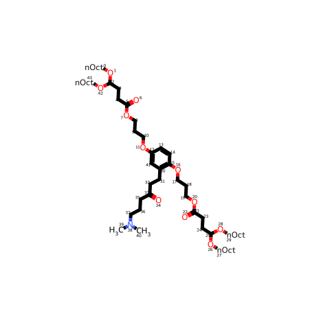 CCCCCCCCOC(CCC(=O)OCCCOc1ccc(OCCCOC(=O)CCC(OCCCCCCCC)OCCCCCCCC)c(CCC(=O)CCCN(C)C)c1)OCCCCCCCC